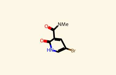 CNC(=O)c1cc(Br)c[nH]c1=O